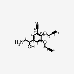 C#CCOc1cc(C(O)CN)cc(C#C)c1OCC#C